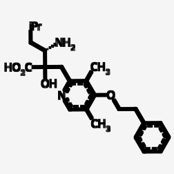 Cc1cnc(CC(O)(C(=O)O)[C@@H](N)CC(C)C)c(C)c1OCCc1ccccc1